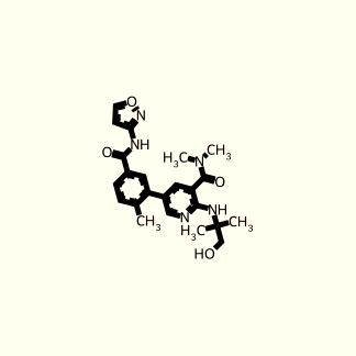 Cc1ccc(C(=O)Nc2ccon2)cc1-c1cnc(NC(C)(C)CO)c(C(=O)N(C)C)c1